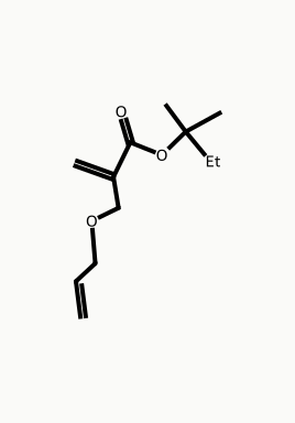 C=CCOCC(=C)C(=O)OC(C)(C)CC